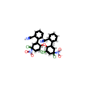 N#Cc1ccccc1C1=CC(Cl)([N+](=O)[O-])C=C(Cl)C1OC1C(Cl)=CC(Cl)([N+](=O)[O-])C=C1c1ccccc1C#N